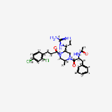 CC[C@H](NC(=N)N)C1CN(C(=O)C(Cc2ccccc2)NC(C)=O)C(C)CN1C(=O)CCc1ccc(Cl)cc1Cl